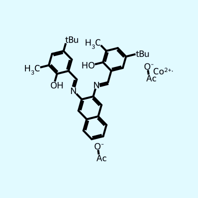 CC(=O)[O-].CC(=O)[O-].Cc1cc(C(C)(C)C)cc(C=Nc2cc3ccccc3cc2N=Cc2cc(C(C)(C)C)cc(C)c2O)c1O.[Co+2]